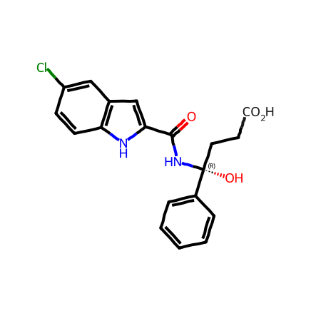 O=C(O)CC[C@](O)(NC(=O)c1cc2cc(Cl)ccc2[nH]1)c1ccccc1